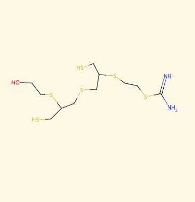 N=C(N)SCCSC(CS)CSCC(CS)SCCO